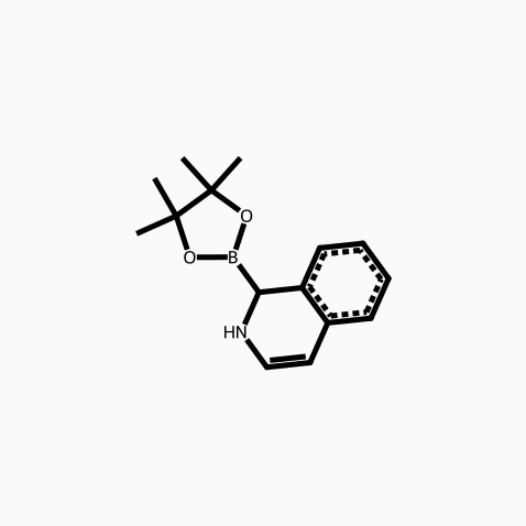 CC1(C)OB(C2NC=Cc3ccccc32)OC1(C)C